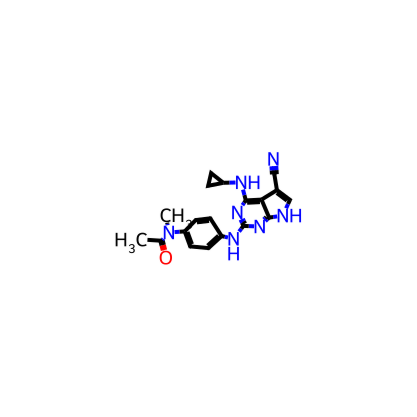 CC(=O)N(C)c1ccc(Nc2nc(NC3CC3)c3c(C#N)c[nH]c3n2)cc1